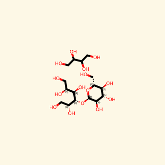 OCC(O)C(O)CO.OC[C@@H](O)[C@@H](O[C@H]1O[C@H](CO)[C@@H](O)[C@H](O)[C@H]1O)[C@H](O)[C@@H](O)CO